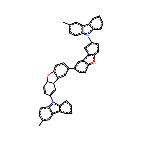 Cc1ccc2c(c1)c1ccccc1n2C1=CC2c3cc(-c4ccc5oc6ccc(-n7c8ccccc8c8cc(C)ccc87)cc6c5c4)ccc3OC2C=C1